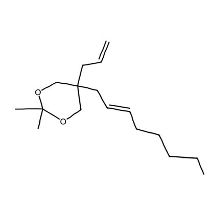 C=CCC1(C/C=C/CCCCC)COC(C)(C)OC1